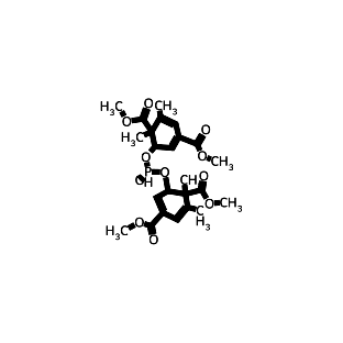 COC(=O)C1=CC(O[PH](=O)OC2C=C(C(=O)OC)C=C(C)C2(C)C(=O)OC)C(C)(C(=O)OC)C(C)=C1